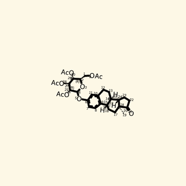 CC(=O)OC[C@H]1OC(Oc2ccc3c(c2)CC[C@@H]2[C@@H]3CC[C@]3(C)C(=O)CC[C@@H]23)[C@H](OC(C)=O)[C@@H](OC(C)=O)[C@@H]1OC(C)=O